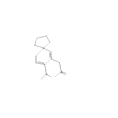 O=C1CC2=CC3(CC=C2C(=O)O1)CCCC3